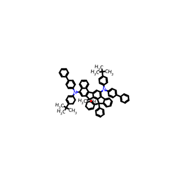 CC(C)(C)C1=CC=C(N(c2ccc(-c3ccccc3)cc2)c2cc3c(c4ccccc24)-c2cc(N(c4ccc(-c5ccccc5)cc4)c4ccc(C(C)(C)C)cc4)c4c(c2C3(C)C)C(C2=CCCC=C2)(c2ccccc2)c2ccccc2-4)CC1